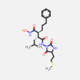 CSCCC1NC(=O)N(NC(=O)[C@H](CC(C)C)[C@H](CCCc2ccccc2)C(=O)NO)C1=O